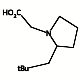 CC(C)(C)CC1CCCN1CC(=O)O